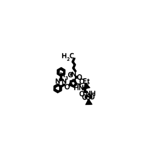 C=CCCCCN(C)C(=O)[C@@H]1C[C@H](Oc2nc(-c3ccccc3)nc3ccccc23)C[C@H]1C(=O)N[C@]1(C(=O)NS(=O)(=O)C2CC2)C[C@H]1CC